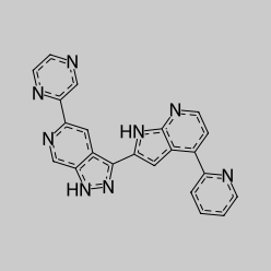 c1ccc(-c2ccnc3[nH]c(-c4n[nH]c5cnc(-c6cnccn6)cc45)cc23)nc1